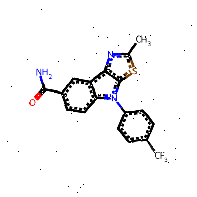 Cc1nc2c3cc(C(N)=O)ccc3n(-c3ccc(C(F)(F)F)cc3)c2s1